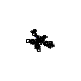 COc1cc(NC2CCN(S(=O)(=O)C(F)(F)F)CC2)c2cc(C(c3ccc(Cl)cc3)c3ccc(Cl)cc3)cc(/C=C/COC(C)=O)c2n1